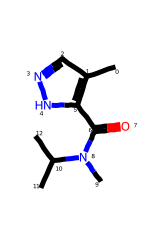 Cc1cn[nH]c1C(=O)N(C)C(C)C